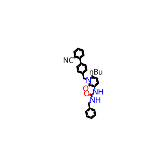 CCCCc1ccc(NC(=O)NCc2ccccc2)c(=O)n1Cc1ccc(-c2ccccc2C#N)cc1